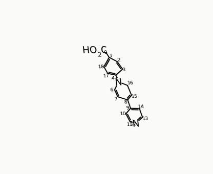 O=C(O)c1ccc(N2C=CC(c3ccncc3)=CC2)cc1